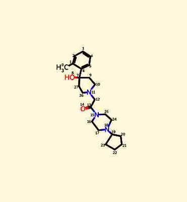 Cc1ccccc1C1(O)CCN(CC(=O)N2CCN(C3CCCC3)CC2)CC1